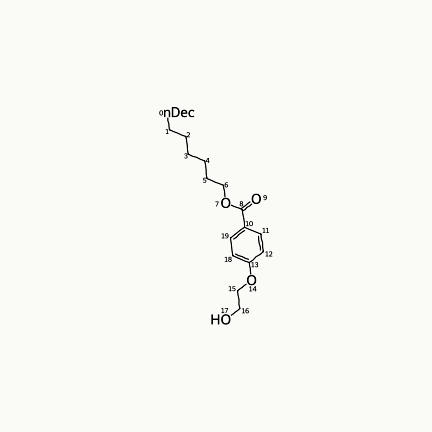 CCCCCCCCCCCCCCCCOC(=O)c1ccc(OCCO)cc1